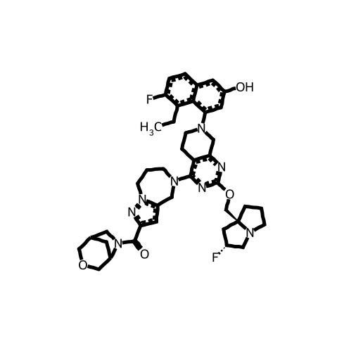 CCc1c(F)ccc2cc(O)cc(N3CCc4c(nc(OC[C@@]56CCCN5C[C@H](F)C6)nc4N4CCCn5nc(C(=O)N6CC7COCC6C7)cc5C4)C3)c12